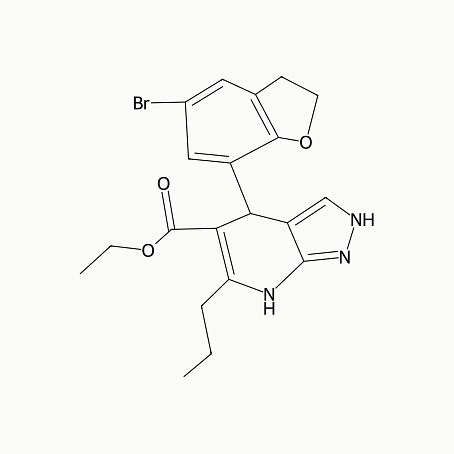 CCCC1=C(C(=O)OCC)C(c2cc(Br)cc3c2OCC3)c2c[nH]nc2N1